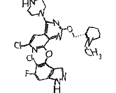 CN1CCC[C@H]1COc1nc(N2CCNCC2)c2cc(Cl)nc(Oc3c(Cl)c(F)cc4[nH]ncc34)c2n1